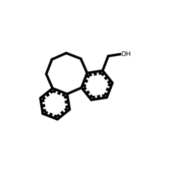 OCc1cccc2c1CCCCc1ccccc1-2